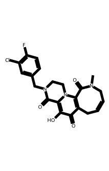 CN1CC=CCc2c(n3c(c(O)c2=O)C(=O)N(Cc2ccc(F)c(Cl)c2)CC3)C1=O